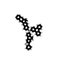 CC1(C)c2cc3ccccc3cc2-c2cc3ccc(N(c4ccc5c(c4)C(C)(C)c4cc6c(cc4-5)oc4ccccc46)c4ccc5c6ccccc6c6ccccc6c5c4)cc3cc21